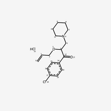 C=CCOC(CN1CCCCC1)C(=O)c1ccc(Cl)cc1.Cl